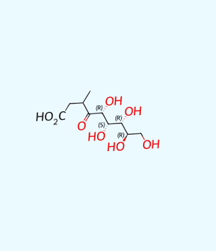 CC(CC(=O)O)C(=O)[C@H](O)[C@@H](O)[C@H](O)[C@H](O)CO